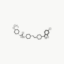 CO[C@H]1CC[C@H](CC(=O)N[C@H]2CC[C@H](CCN3CCC(c4noc5cc(Cl)ccc45)CC3)CC2)CC1